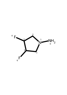 NN1CC(F)C(F)C1